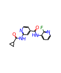 O=C(Nc1cccnc1F)c1ccnc(NC(=O)C2CC2)c1